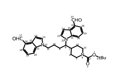 CC(C)(C)OC(=O)N1CCC(C(CCCn2ccc3c(C=O)cccc32)n2ccc3c(C=O)cccc32)CC1